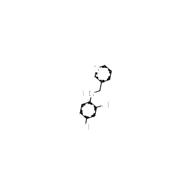 Clc1ccc(NCc2cccnc2)c(Cl)c1